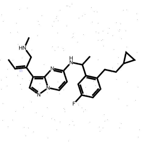 C/C=C(\CNC)c1cnn2ccc(NC(C)c3cc(F)ccc3CCC3CC3)nc12